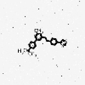 Cc1cc(CCc2ccc(-c3cscn3)cc2)cc(-c2ccc(C(C)C)cc2)c1